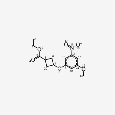 CCOC(=O)C1CC(Oc2cc(OC)cc([N+](=O)[O-])c2)C1